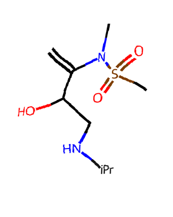 C=C(C(O)CNC(C)C)N(C)S(C)(=O)=O